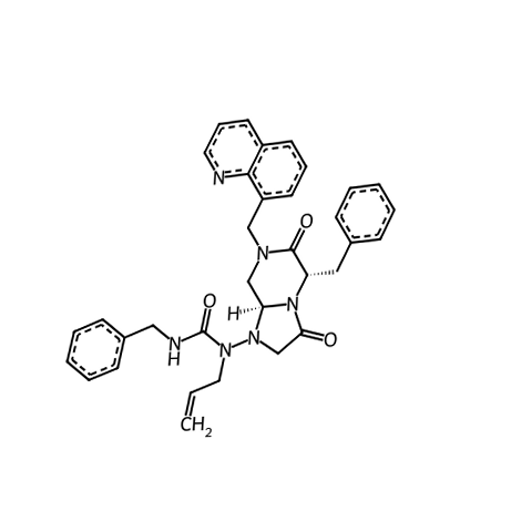 C=CCN(C(=O)NCc1ccccc1)N1CC(=O)N2[C@@H](Cc3ccccc3)C(=O)N(Cc3cccc4cccnc34)C[C@@H]21